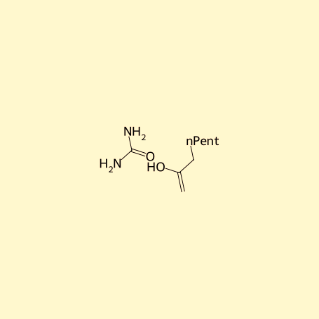 C=C(O)CCCCCC.NC(N)=O